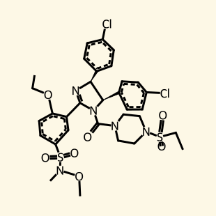 CCOc1ccc(S(=O)(=O)N(C)OC)cc1C1=N[C@@H](c2ccc(Cl)cc2)[C@@H](c2ccc(Cl)cc2)N1C(=O)N1CCN(S(=O)(=O)CC)CC1